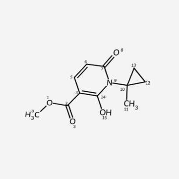 COC(=O)c1ccc(=O)n(C2(C)CC2)c1O